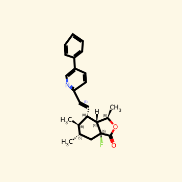 C[C@H]1[C@H](/C=C/c2ccc(-c3ccccc3)cn2)[C@@H]2[C@@H](C)OC(=O)[C@]2(F)C[C@@H]1C